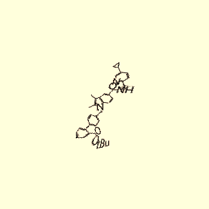 Cc1c(C)n(Cc2ccc(-c3ccccc3C(=O)OC(C)(C)C)cc2)c2ccc(C(=O)N[C@@H](C)c3ccc(C4CC4)cn3)cc12